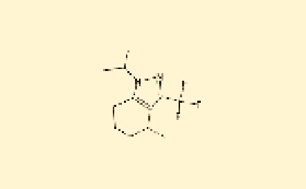 CC1CCCc2c1c(C(F)(F)F)nn2C(C)C